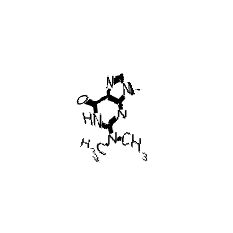 CN(C)c1nc2c(c(=O)[nH]1)N=C[N]2